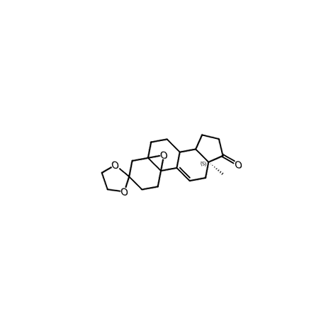 C[C@]12CC=C3C(CCC45CC6(CCC34O5)OCCO6)C1CCC2=O